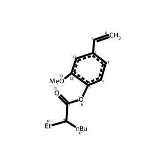 C=Cc1ccc(OC(=O)C(CC)CCCC)c(OC)c1